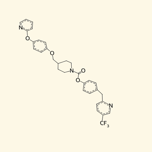 O=C(Oc1ccc(Cc2ccc(C(F)(F)F)cn2)cc1)N1CCC(COc2ccc(Oc3ccccn3)cc2)CC1